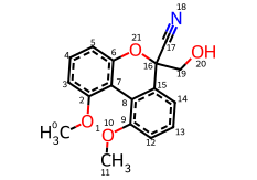 COc1cccc2c1-c1c(OC)cccc1C(C#N)(CO)O2